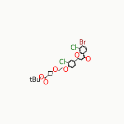 CC(C)(C)OC(=O)[C@H]1C[C@@H](OCCOc2ccc(-c3cc(=O)c4ccc(Br)c(Cl)c4o3)cc2Cl)C1